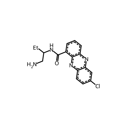 CCC(CN)NC(=O)c1cccc2nc3cc(Cl)ccc3nc12